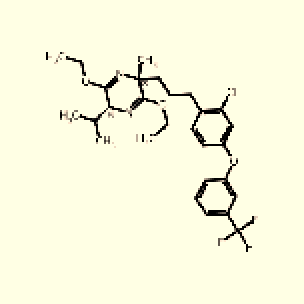 CCOC1=N[C@](C)(CCCc2ccc(Oc3cccc(C(F)(F)F)c3)cc2Cl)C(OCC)=N[C@H]1C(C)C